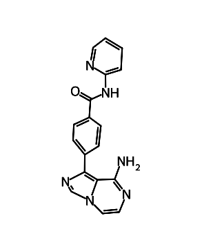 Nc1nccn2cnc(-c3ccc(C(=O)Nc4ccccn4)cc3)c12